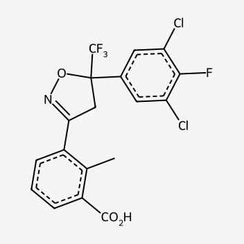 Cc1c(C(=O)O)cccc1C1=NOC(c2cc(Cl)c(F)c(Cl)c2)(C(F)(F)F)C1